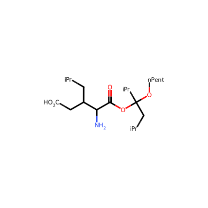 CCCCCOC(CC(C)C)(OC(=O)C(N)C(CC(=O)O)CC(C)C)C(C)C